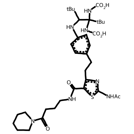 CC(=O)Nc1nc(CCc2ccc(NC(C(C)(C)C)C(NC(=O)O)(NC(=O)O)C(C)(C)C)cc2)c(C(=O)NCCCC(=O)N2CCCCC2)s1